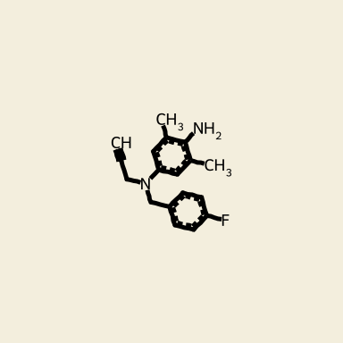 C#CCN(Cc1ccc(F)cc1)c1cc(C)c(N)c(C)c1